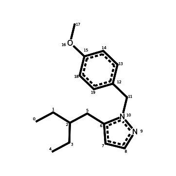 CCC(CC)Cc1ccnn1Cc1ccc(OC)cc1